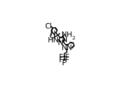 CC1(c2ccc(Cl)cn2)C(=O)Nc2nc(-c3nc(CCC(F)(F)C(F)(F)F)n4ccccc34)nc(N)c21